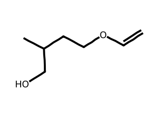 C=COCCC(C)CO